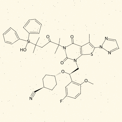 COc1ccc(F)cc1[C@H](Cn1c(=O)n(C(C)(C)C(=O)CC(C)(C)[Si](O)(c2ccccc2)c2ccccc2)c(=O)c2c(C)c(-n3nccn3)sc21)O[C@H]1CC[C@H](C#N)CC1